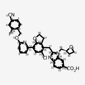 N#Cc1ccc(COc2cccc(-c3cc(Cl)c(Cc4nc5ccc(C(=O)O)cc5n4C[C@@H]4CCO4)c4c3OCC4)n2)c(F)c1